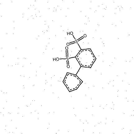 O=S(=O)(O)c1cccc(-c2ccccc2)c1S(=O)(=O)O